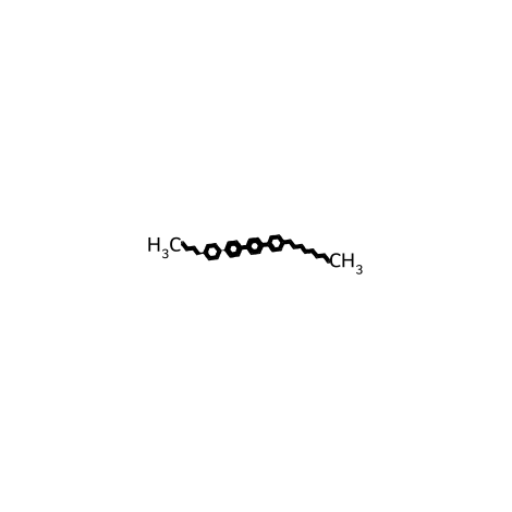 CCCCCCCCCC1CC=C(c2ccc(-c3ccc([C@H]4CC[C@H](CCCCC)CC4)cc3)cc2)CC1